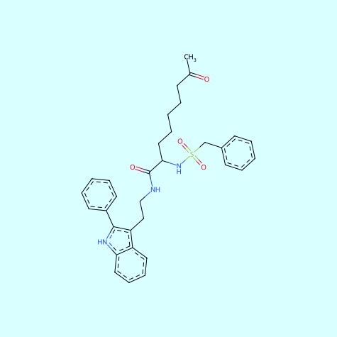 CC(=O)CCCCCC(NS(=O)(=O)Cc1ccccc1)C(=O)NCCc1c(-c2ccccc2)[nH]c2ccccc12